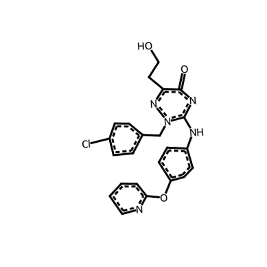 O=c1nc(Nc2ccc(Oc3ccccn3)cc2)n(Cc2ccc(Cl)cc2)nc1CCO